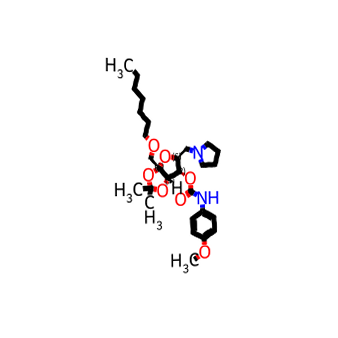 CCCCCCCOC[C@@]12O[C@@H](CN3CCCC3)[C@@H](OC(=O)Nc3ccc(OC)cc3)[C@@H]1OC(C)(C)O2